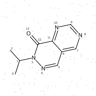 CC(C)n1ncc2cncnc2c1=O